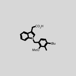 COc1c(Cn2cc(CC(=O)O)c3ccccc32)ccc(C(C)(C)C)c1C